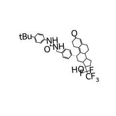 CC(C)(C)c1ccc(NC(=O)NCc2ccc([C@H]3C[C@@]4(C)C(CC[C@@]4(O)C(F)(F)C(F)(F)F)C4CCC5=CC(=O)CCC5=C43)cc2)cc1